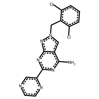 Nc1nc(-c2cnccn2)nc2nn(Cc3c(Cl)cccc3Cl)cc12